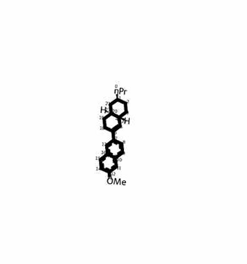 CCC[C@H]1CC[C@@H]2C=C(c3ccc4cc(OC)ccc4c3)CC[C@H]2C1